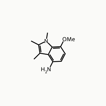 COc1ccc(N)c2c(C)c(C)n(C)c12